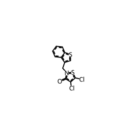 O=c1c(Cl)c(Cl)sn1Cc1csc2ccccc12